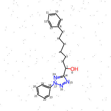 OC(CCCCCCc1ccccc1)c1nnn(-c2ccccc2)n1